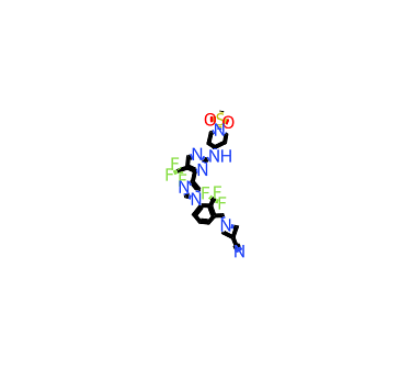 CS(=O)(=O)N1CCC(Nc2ncc(C(F)(F)F)c(-c3cn(-c4cccc(CN5CC(C#N)C5)c4C(F)(F)F)cn3)n2)CC1